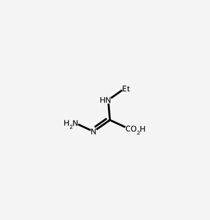 CCN/C(=N\N)C(=O)O